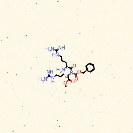 COC(=O)[C@H](CCCNC(=N)N)N(C(=O)OCc1ccccc1)C(=O)[C@@H](N)CCCNC(=N)N